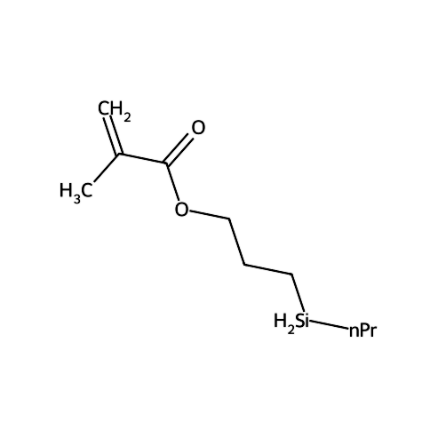 C=C(C)C(=O)OCCC[SiH2]CCC